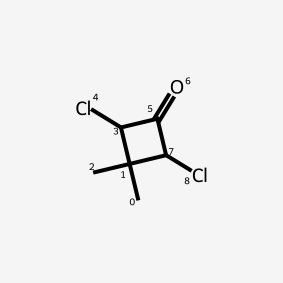 CC1(C)C(Cl)C(=O)C1Cl